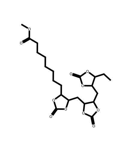 CCC1OC(=O)OC1CC1OC(=O)OC1CC1OC(=O)OC1CCCCCCCC(=O)OC